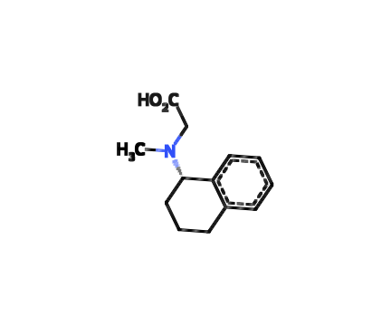 CN(CC(=O)O)[C@H]1CCCc2ccccc21